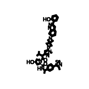 Cc1ncsc1-c1ccc(C(C)NC(=O)[C@@H]2C[C@@H](O)CN2C(=O)C(c2cc(N3CC4(CN(c5ccc6cc(-c7ccccc7O)nnc6c5)C4)C3)n(C)n2)C(C)C)cc1